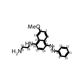 COc1ccc2c(N=Nc3ccccc3)ccc(NCCN)c2c1